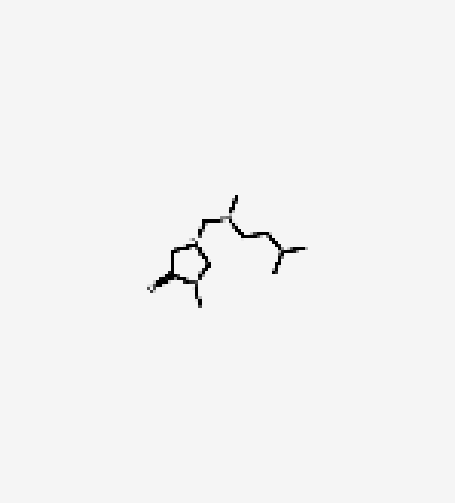 CC(C)CCN(C)C[C@@H]1CC(=O)N(C)C1